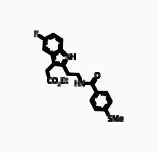 CCOC(=O)Cc1c(CCNC(=O)c2ccc(SC)cc2)[nH]c2ccc(F)cc12